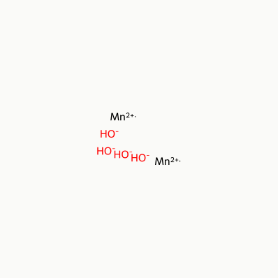 [Mn+2].[Mn+2].[OH-].[OH-].[OH-].[OH-]